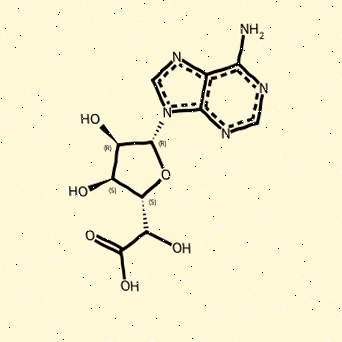 Nc1ncnc2c1ncn2[C@@H]1O[C@H](C(O)C(=O)O)[C@@H](O)[C@H]1O